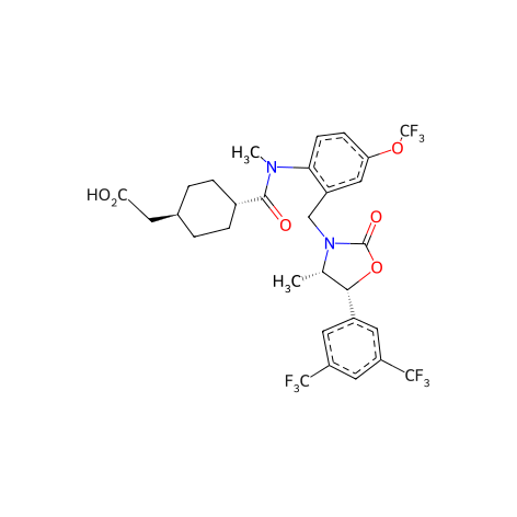 C[C@H]1[C@@H](c2cc(C(F)(F)F)cc(C(F)(F)F)c2)OC(=O)N1Cc1cc(OC(F)(F)F)ccc1N(C)C(=O)[C@H]1CC[C@H](CC(=O)O)CC1